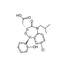 CC(C)CN1C(=O)[C@@H](CC(=O)O)O[C@H](c2ccccc2O)c2cc(Cl)ccc21